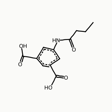 CCCC(=O)Nc1cc(C(=O)O)cc(C(=O)O)c1